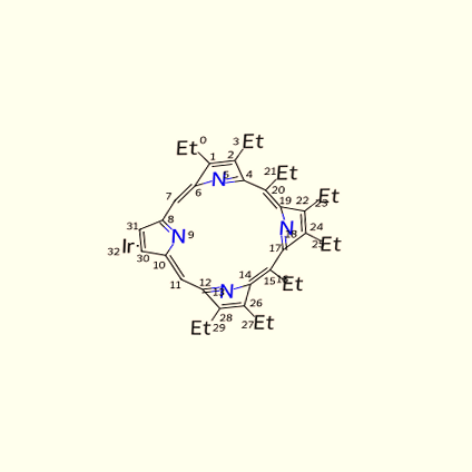 CCC1=C(CC)C2=NC1=CC1=NC(=CC3=NC(=C(CC)C4=NC(=C2CC)C(CC)=C4CC)C(CC)=C3CC)C=C1.[Ir]